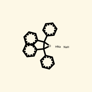 [NaH].[NaH].c1ccc(C2(c3ccccc3)OC2(c2ccccc2)c2ccccc2)cc1